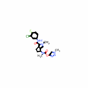 CN(C(=O)Oc1cn(C)nn1)C1CCc2c1cn(C)c2C(=O)Nc1ccc(F)c(Cl)c1